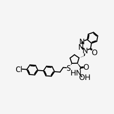 O=C(NO)[C@@H]1[C@@H](Cn2nnc3ccccc3c2=O)CC[C@H]1SCCc1ccc(-c2ccc(Cl)cc2)cc1